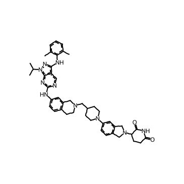 Cc1cccc(C)c1Nc1nn(C(C)C)c2nc(Nc3ccc4c(c3)CN(CC3CCN(c5ccc6c(c5)CN(C5CCC(=O)NC5=O)C6)CC3)CC4)ncc12